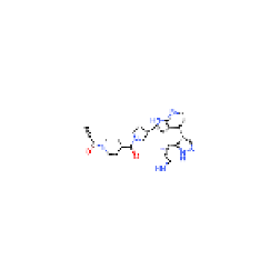 C#CC(=O)N1CCC(C(=O)N2CCC(c3cc4c(-c5cn[nH]c5/C=C\C=N)ccnc4[nH]3)C2)CC1